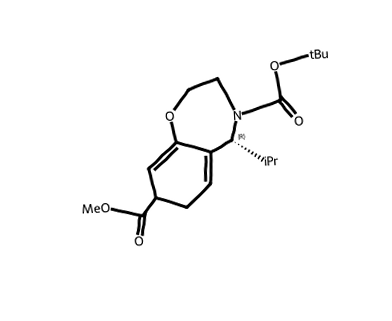 COC(=O)C1C=C2OCCN(C(=O)OC(C)(C)C)[C@H](C(C)C)C2=CC1